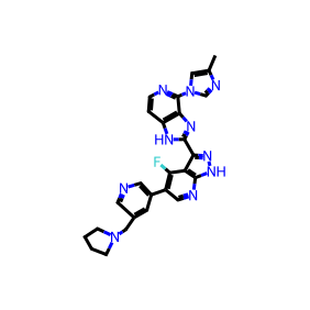 Cc1cn(-c2nccc3[nH]c(-c4n[nH]c5ncc(-c6cncc(CN7CCCC7)c6)c(F)c45)nc23)cn1